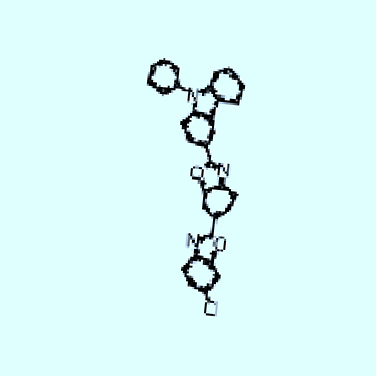 Clc1ccc2nc(-c3ccc4nc(-c5ccc6c(c5)c5ccccc5n6-c5ccccc5)oc4c3)oc2c1